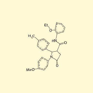 CCOc1ccccc1NC(=O)C1CC(=O)N(c2ccc(OC)cc2)C1c1ccc(C)cc1